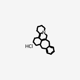 Cl.c1ccc2c(c1)CC1=C3C(=C4CCCCN4C1)CCCC3C2